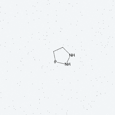 C1C[P]NN1